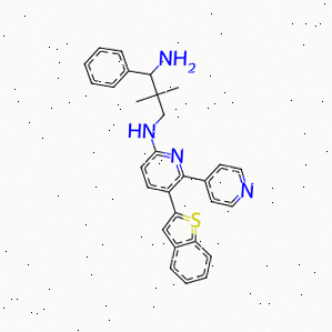 CC(C)(CNc1ccc(-c2cc3ccccc3s2)c(-c2ccncc2)n1)C(N)c1ccccc1